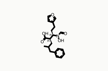 CC(Cc1ccccc1)C[C@@H](C(=O)O)[C@@H](CCc1ccoc1)N(O)C=O